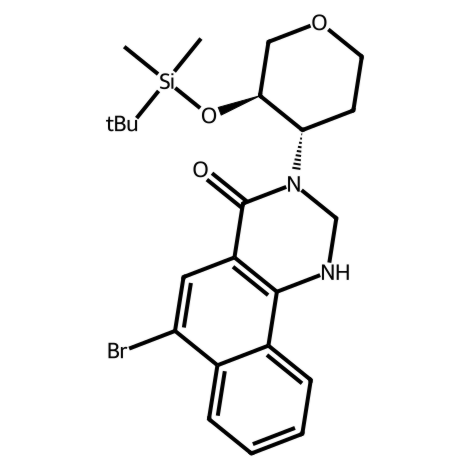 CC(C)(C)[Si](C)(C)O[C@H]1COCC[C@@H]1N1CNc2c(cc(Br)c3ccccc23)C1=O